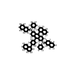 c1ccc(N(c2ccc3ccccc3c2)c2ccc3c(-c4cccc5ccccc45)c4cc(N(c5ccccc5)c5ccc6ccccc6c5)ccc4c(-c4ccc(-c5cccc6ccccc56)cc4)c3c2)cc1